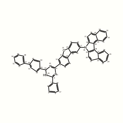 c1ccc(C2=NC(c3ccc4c(c3)oc3ccc(-n5c6ccc7ccccc7c6c6c7ccccc7ccc65)cc34)=NC(c3ccc(-c4ccccc4)cc3)N2)cc1